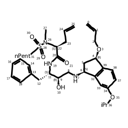 C=CCO[C@@H]1C[C@H](NC[C@@H](O)[C@H](Cc2ccccc2)NC(=O)[C@H](CC=C)N(C)S(=O)(=O)CCCCC)c2cc(OC(C)C)ccc21